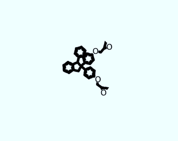 c1ccc(C2c3ccccc3CC2(c2ccc(OCC3CO3)cc2)c2ccc(OCC3CO3)cc2)cc1